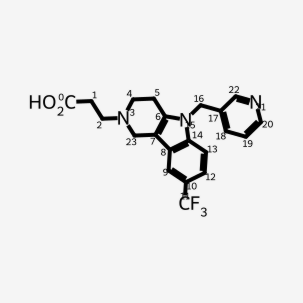 O=C(O)CCN1CCc2c(c3cc(C(F)(F)F)ccc3n2Cc2cccnc2)C1